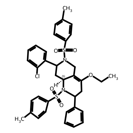 CCOC1=C2CN(S(=O)(=O)c3ccc(C)cc3)C(c3ccccc3Cl)C[C@@H]2N(S(=O)(=O)c2ccc(C)cc2)C(c2ccccc2)C1